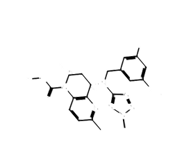 Cc1ccc2c(n1)[C@@H](N(Cc1cc(C(F)(F)F)cc(C(F)(F)F)c1)c1nnn(C)n1)C[C@@H](C)N2C(=O)OC(C)C